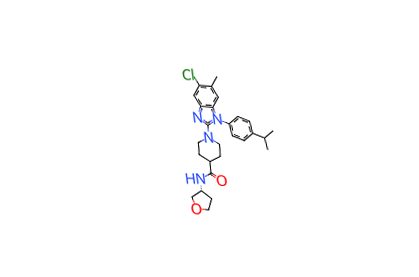 Cc1cc2c(cc1Cl)nc(N1CCC(C(=O)N[C@@H]3CCOC3)CC1)n2-c1ccc(C(C)C)cc1